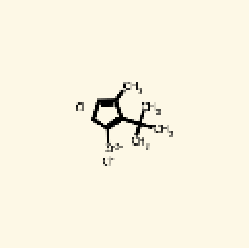 CC1=CC[C]([Zr+2])=C1C(C)(C)C.[Cl-].[Cl-]